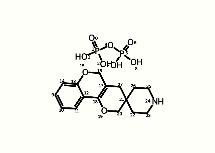 O=P(O)(O)OP(=O)(O)O.c1ccc2c(c1)OCC1=C2OCC2(CCNCC2)C1